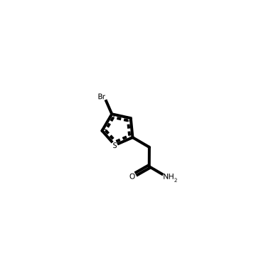 NC(=O)Cc1cc(Br)cs1